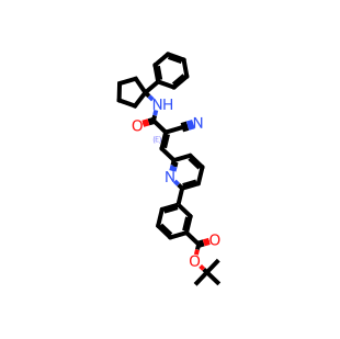 CC(C)(C)OC(=O)c1cccc(-c2cccc(/C=C(\C#N)C(=O)NC3(c4ccccc4)CCCC3)n2)c1